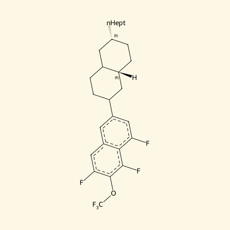 CCCCCCC[C@@H]1CC[C@@H]2CC(c3cc(F)c4c(F)c(OC(F)(F)F)c(F)cc4c3)CCC2C1